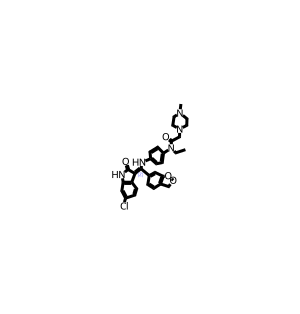 CCN(C(=O)CN1CCN(C)CC1)c1ccc(N/C(=C2\C(=O)Nc3cc(Cl)ccc32)c2ccc3c(c2)OOC3)cc1